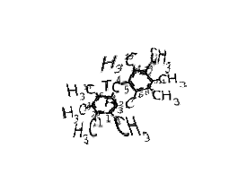 Cc1c[c]([Tc][c]2c(C)c(C)c(C)c(C)c2C)c(C)c(C)c1C